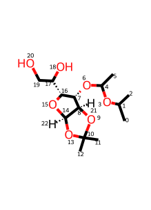 CC(C)OC(C)O[C@@H]1[C@H]2OC(C)(C)O[C@H]2O[C@@H]1C(O)CO